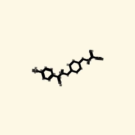 CNC(=O)NCC1CCC(CNC(=O)c2ccc(C)cc2)CC1